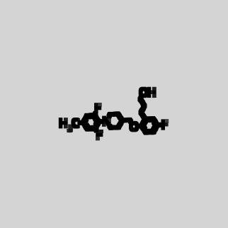 Cc1cc(F)c(N2CCC(COc3ccc(F)cc3CCCO)CC2)c(F)c1